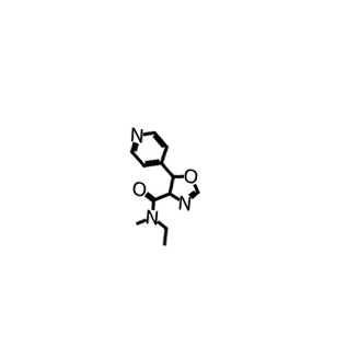 CCN(C)C(=O)C1N=COC1c1ccncc1